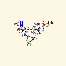 C=Cc1cc(Cl)cc(N2CC[C@](NC(=O)O)(C(=O)NC3CC3)C2)c1Cn1cnc2c(NC(=O)OC(C)(C)C)ncnc21